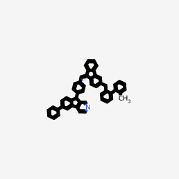 Cc1ccccc1-c1ccccc1Cc1ccc2c(c1)-c1ccccc1/C2=C/c1ccc(C2c3ccc(-c4ccccc4)cc3-c3ccncc32)cc1